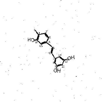 Cc1ccc(/C=C/c2cc(O)cc(O)c2)cc1O